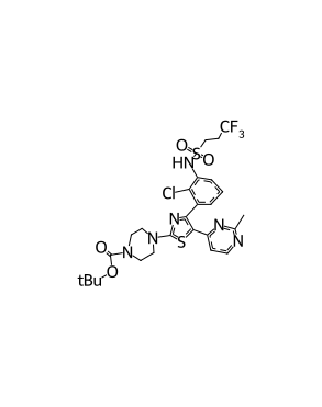 Cc1nccc(-c2sc(N3CCN(C(=O)OC(C)(C)C)CC3)nc2-c2cccc(NS(=O)(=O)CCC(F)(F)F)c2Cl)n1